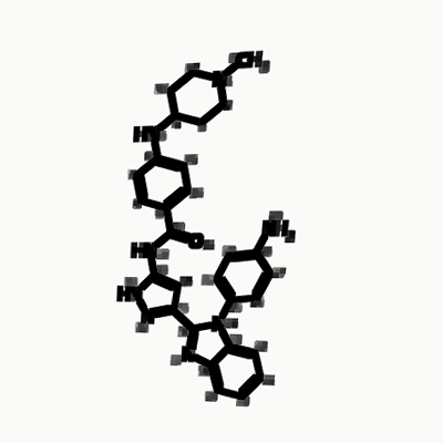 CN1CCC(Nc2ccc(C(=O)Nc3cc(-c4nc5ccccc5n4-c4ccc(N)cc4)n[nH]3)cc2)CC1